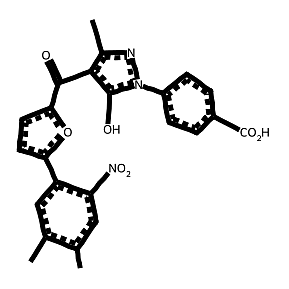 Cc1cc(-c2ccc(C(=O)c3c(C)nn(-c4ccc(C(=O)O)cc4)c3O)o2)c([N+](=O)[O-])cc1C